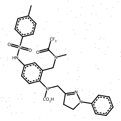 Cc1ccc(S(=O)(=O)Nc2ccc(N(CC3=NN(c4ccccc4)CC3)C(=O)O)c(CN(C)C(=O)C(F)(F)F)c2)cc1